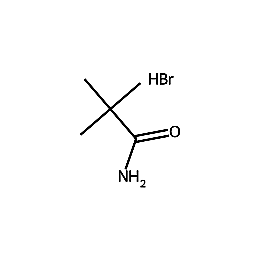 Br.CC(C)(C)C(N)=O